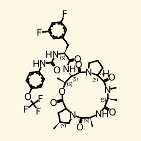 C[C@H]1CC2C(=O)O[C@@H](C)[C@H](NC(=O)[C@H](Cc3cc(F)cc(F)c3)NC(=O)Nc3ccc(OC(F)(F)F)cc3)C(=O)N3CCC[C@H]3C(=O)N(C)[C@@H](C)C(=O)N[C@@H](C)C(=O)N2C1